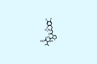 CC(C)C(NC(=O)C1SCCN1C(=O)C[C@H](N)Cc1cc(F)c(F)cc1F)C(=O)O